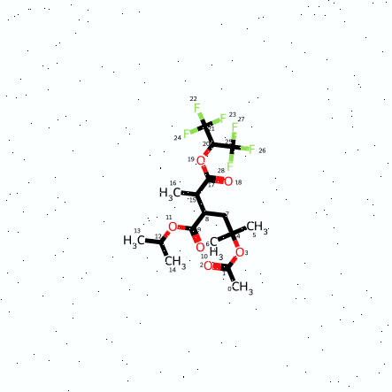 CC(=O)OC(C)(C)CC(C(=O)OC(C)C)C(C)C(=O)OC(C(F)(F)F)C(F)(F)F